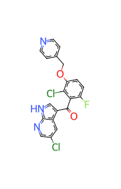 O=C(c1c(F)ccc(OCc2ccncc2)c1Cl)c1c[nH]c2ncc(Cl)cc12